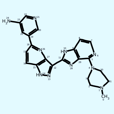 CN1CCN(c2nccc3[nH]c(-c4n[nH]c5ccc(-c6cncc(N)c6)nc45)nc23)CC1